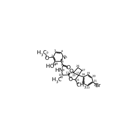 COc1ccnc(C(=O)N[C@@H](C)C(=O)OC(C)C2(c3ccc(Br)cc3)CCC2)c1O